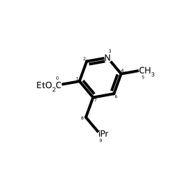 CCOC(=O)c1cnc(C)cc1CC(C)C